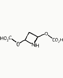 O=C(O)OC1CC(OC(=O)O)N1